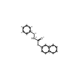 O=C(Cc1ccc2ccccc2c1)NCc1ccccc1